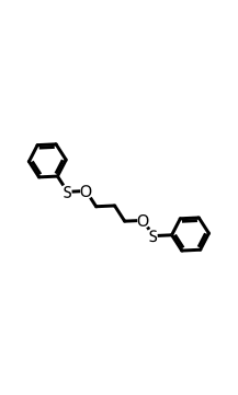 c1ccc(SOCCCOSc2ccccc2)cc1